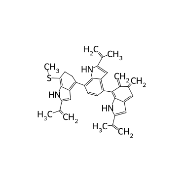 C=C(C)c1cc2c([nH]1)=C(SC)CCC=2c1ccc(-c2c(=C)c(=C)cc3cc(C(=C)C)[nH]c23)c2cc(C(=C)C)[nH]c12